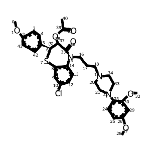 COc1ccc([C@@H]2Sc3cc(Cl)ccc3N(CCCN3CCN(c4ccc(OC)cc4OC)CC3)C(=O)C2OC(C)=O)cc1